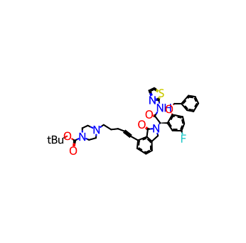 CC(C)(C)OC(=O)N1CCN(CCCC#Cc2cccc3c2C(=O)N([C@@H](C(=O)Nc2nccs2)c2cc(F)ccc2OCc2ccccc2)C3)CC1